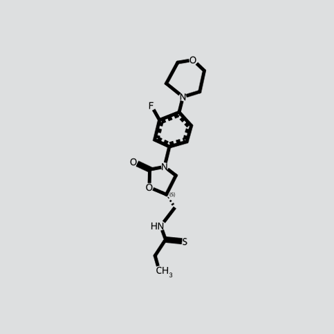 CCC(=S)NC[C@H]1CN(c2ccc(N3CCOCC3)c(F)c2)C(=O)O1